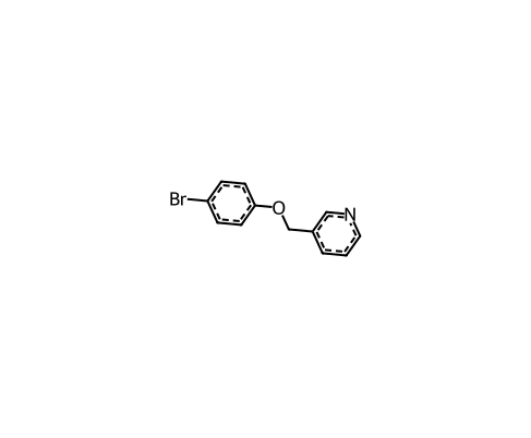 Brc1ccc(OCc2cccnc2)cc1